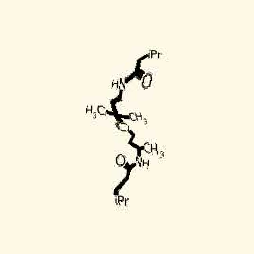 CC(C)CCC(=O)NC(C)CCOC(C)(C)CCNC(=O)CC(C)C